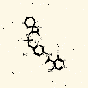 CC[C@@](Cc1ccc(NC(=O)c2c(Cl)cncc2Cl)cn1)(NC1=C(Br)OC12CCCCC2)C(=O)O.Cl